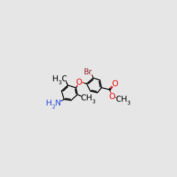 COC(=O)c1ccc(Oc2c(C)cc(N)cc2C)c(Br)c1